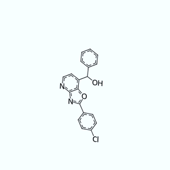 OC(c1ccccc1)c1ccnc2nc(-c3ccc(Cl)cc3)oc12